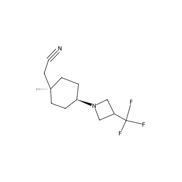 C[C@]1(CC#N)CC[C@@H](N2CC(C(F)(F)F)C2)CC1